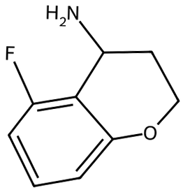 NC1CCOc2cccc(F)c21